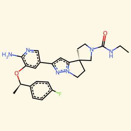 CCNC(=O)N1CC[C@@]2(CCn3nc(-c4cnc(N)c(O[C@H](C)c5ccc(F)cc5)c4)cc32)C1